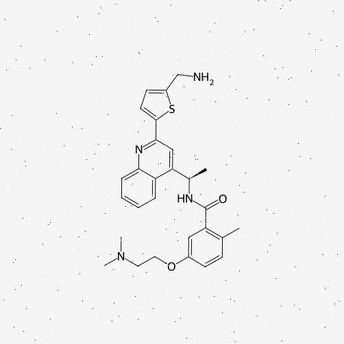 Cc1ccc(OCCN(C)C)cc1C(=O)N[C@H](C)c1cc(-c2ccc(CN)s2)nc2ccccc12